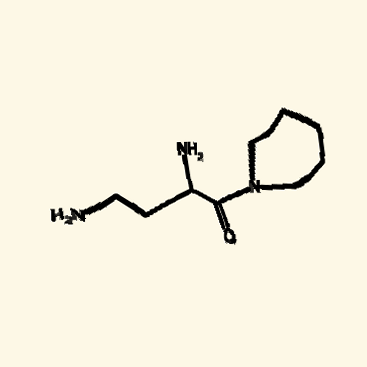 NCCC(N)C(=O)N1CCCCC1